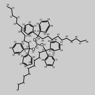 CCCCCCCCCCC(OP(OC(CCCCCCCCCC)(c1ccccc1)c1ccccc1)OC(CCCCCCCCCC)(c1ccccc1)c1ccccc1)(c1ccccc1)c1ccccc1